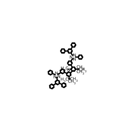 Cn1c2c(-c3cccc(-c4nc(-c5ccccc5)nc(-c5cc(-c6ccccc6)cc(-c6ccccc6)c5)n4)c3)cc(C(C)(C)C)cc2c2cc(C(C)(C)C)cc(-c3cccc(-c4nc(-c5ccccc5)nc(-c5cc(-c6ccccc6)cc(-c6ccccc6)c5)n4)c3)c21